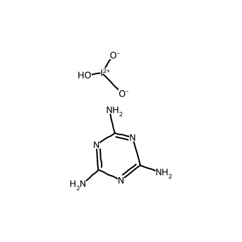 Nc1nc(N)nc(N)n1.[O-][I+2]([O-])O